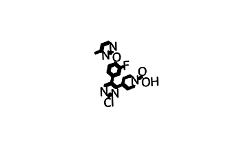 Cc1ccnc(Oc2ccc(-c3cnc(Cl)nc3C3=CCN(C(=O)O)CC3)cc2F)n1